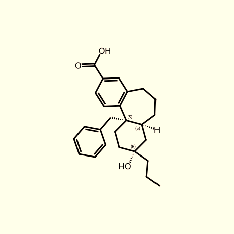 CCC[C@@]1(O)CC[C@@]2(Cc3ccccc3)c3ccc(C(=O)O)cc3CCC[C@H]2C1